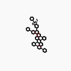 CCn1c(-c2ccccc2)nc2cc(-c3ccc(-c4ccc5c(-c6ccccc6-c6ccc(-c7ccccc7)cc6)c6ccccc6c(-c6ccccc6-c6ccc(-c7ccc(-c8ccccc8)cc7)cc6)c5c4)cc3)ccc21